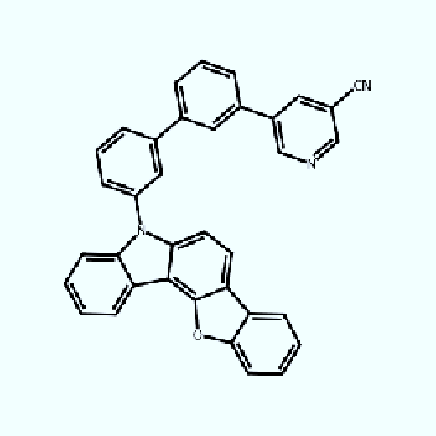 N#Cc1cncc(-c2cccc(-c3cccc(-n4c5ccccc5c5c6oc7ccccc7c6ccc54)c3)c2)c1